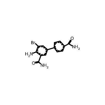 NC(=O)c1ccc(-c2cc(Br)c(N)c(C(N)=O)c2)cc1